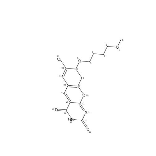 COCCCCOC1Cc2oc3nc(=O)[nH]c(=O)c-3cc2C=C1Cl